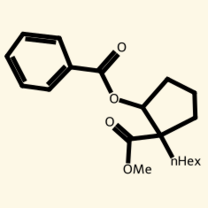 CCCCCCC1(C(=O)OC)CCCC1OC(=O)c1ccccc1